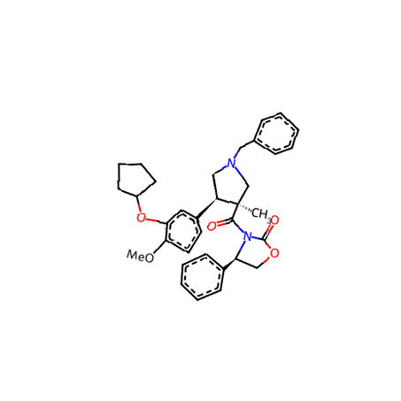 COc1ccc([C@H]2CN(Cc3ccccc3)C[C@@]2(C)C(=O)N2C(=O)OC[C@H]2c2ccccc2)cc1OC1CCCC1